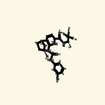 C[C@H](NC(=O)C1C=CC2=C(N1)N(C(=O)Nc1cc(Br)ccn1)[C@H]1CCN2C1)C(F)(F)F